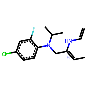 C=CN/C(=C\C)CN(c1ccc(Cl)cc1F)C(C)C